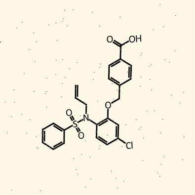 C=CCN(c1ccc(Cl)cc1OCc1ccc(C(=O)O)cc1)S(=O)(=O)c1ccccc1